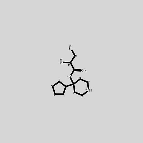 O=C(OC1(C2CCCC2)CCNCC1)C(Br)CBr